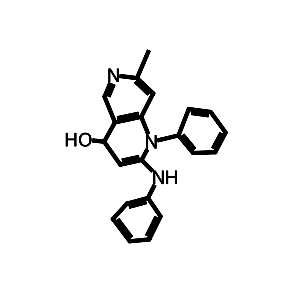 Cc1cc2c(cn1)C(O)C=C(Nc1ccccc1)N2c1ccccc1